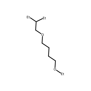 [CH2]COCCCCOCC(CC)CC